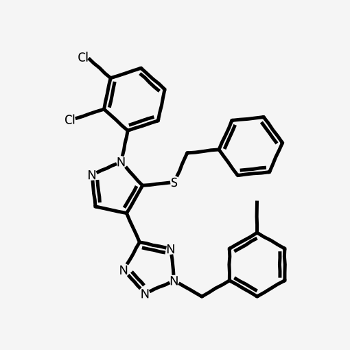 Cc1cccc(Cn2nnc(-c3cnn(-c4cccc(Cl)c4Cl)c3SCc3ccccc3)n2)c1